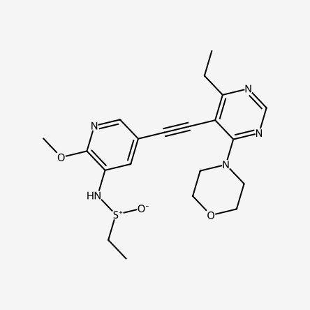 CCc1ncnc(N2CCOCC2)c1C#Cc1cnc(OC)c(N[S+]([O-])CC)c1